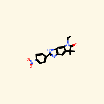 CCN1C(=O)C(C)(C)c2cc3nc(-c4ccc([N+](=O)[O-])cc4)[nH]c3cc21